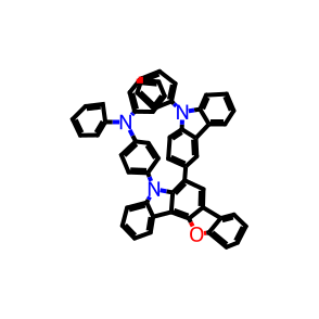 c1ccc(N(c2ccccc2)c2ccc(-n3c4ccccc4c4c5oc6ccccc6c5cc(-c5ccc6c(c5)c5ccccc5n6-c5ccccc5)c43)cc2)cc1